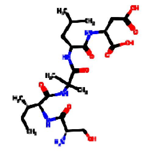 CC[C@H](C)[C@H](NC(=O)[C@@H](N)CO)C(=O)NC(C)(C)C(=O)N[C@@H](CC(C)C)C(=O)N[C@@H](CC(=O)O)C(=O)O